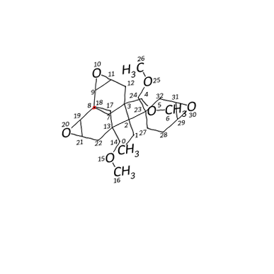 CCC(C1(COC)CCC2OC2C1)(C1(COC)CCC2OC2C1)C1(COC)CCC2OC2C1